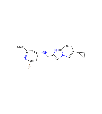 COc1cc(NCc2cn3cc(C4CC4)ccc3n2)cc(Br)n1